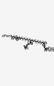 CCCCCC(CCCCC)CCOC(=O)CCCCCCCCCC(CCCCCCCCCC(=O)OCCC(CCCCC)CCCCC)C(=O)OCCCN(C)C(C)C